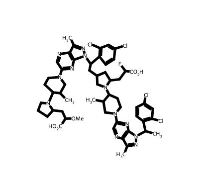 COC(CC1CCCN1C1CCN(c2cnc3c(C)nn(C(CC4CC(CC(F)C(=O)O)N(C5CCN(c6cnc7c(C)nn(C(C)c8ccc(Cl)cc8Cl)c7n6)CC5C)C4)c4ccc(Cl)cc4Cl)c3n2)CC1C)C(=O)O